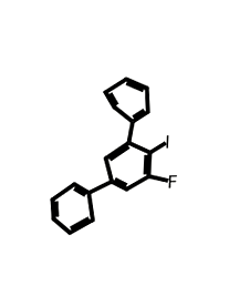 Fc1cc(-c2ccccc2)cc(-c2ccccc2)c1I